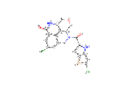 CN(C(=O)c1cc2sc(Cl)cc2[nH]1)C1COCc2[nH]c(=O)c3cc(F)ccc3c21